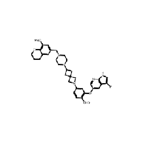 COc1cc(CN2CCN(C3CC4(C3)CN(c3ccc(C=O)c(Oc5cnc6[nH]cc(F)c6c5)c3)C4)CC2)cc2c1OCCC2